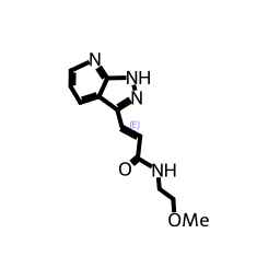 COCCNC(=O)/C=C/c1n[nH]c2ncccc12